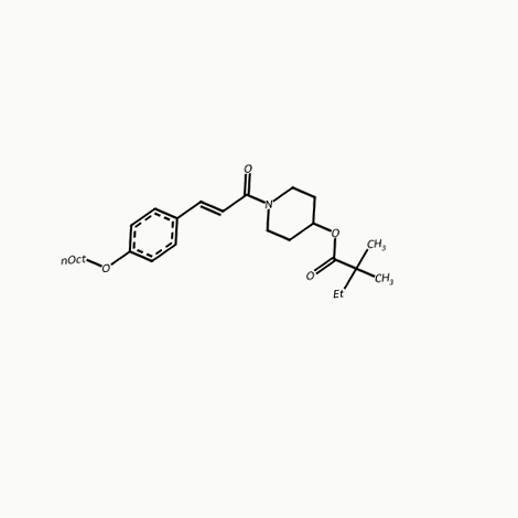 CCCCCCCCOc1ccc(/C=C/C(=O)N2CCC(OC(=O)C(C)(C)CC)CC2)cc1